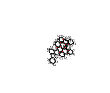 c1ccc(-c2ccccc2N(c2ccc(-c3cccc4c3oc3ccccc34)cc2)c2ccccc2-c2ccccc2-c2ccccc2-n2c3ccccc3c3ccccc32)cc1